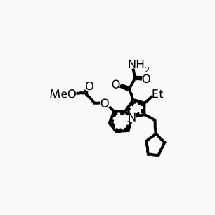 CCc1c(C(=O)C(N)=O)c2c(OCC(=O)OC)cccn2c1CC1CCCC1